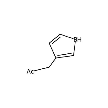 CC(=O)CC1=CBC=C1